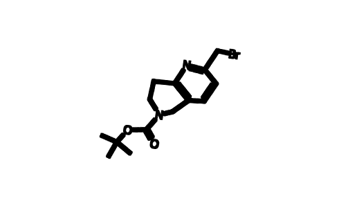 CC(C)(C)OC(=O)N1CCc2nc(CBr)ccc2C1